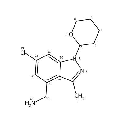 Cc1nn(C2CCCCO2)c2cc(Cl)cc(CN)c12